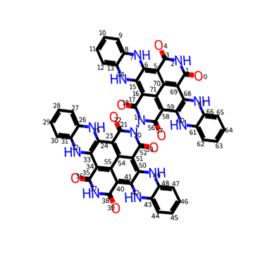 O=c1[nH]c(=O)c2c3[nH]c4ccccc4[nH]c3c3c(=O)n(-n4c(=O)c5c6[nH]c7ccccc7[nH]c6c6c(=O)[nH]c(=O)c7c8[nH]c9ccccc9[nH]c8c(c4=O)c5c67)c(=O)c4c5[nH]c6ccccc6[nH]c5c1c2c43